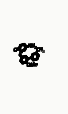 COc1ccc(Cn2cc(N)ccc2=O)cc1-c1cccc(C)c1